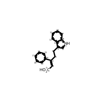 O=C(O)C=C(CCc1c[nH]c2ccccc12)c1ccccc1